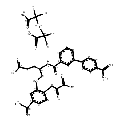 N=C(N)c1ccc(-c2cccc(C(=O)N[C@H](CCC(=O)O)COc3cc(C(=N)N)ccc3CC(=O)C(=O)O)c2)cc1.O=C(O)C(F)(F)F.O=C(O)C(F)(F)F